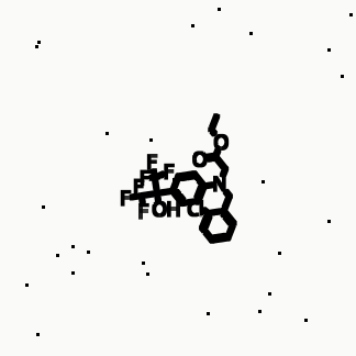 CCOC(=O)CN(Cc1ccccc1Cl)c1ccc(C(O)(C(F)(F)F)C(F)(F)F)cc1